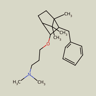 CN(C)CCCOC1C2CCC(C)(C1Cc1ccccc1)C2(C)C